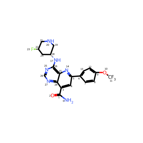 NC(=O)c1cc(-c2ccc(OC(F)(F)F)cc2)nc2c(N[C@H]3CNC[C@H](F)C3)ncnc12